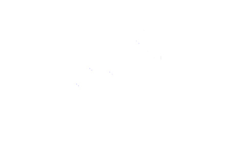 CC(C)N(CC1CCCN(c2ncnc3ccc(F)cc23)C1)S(C)(=O)=O